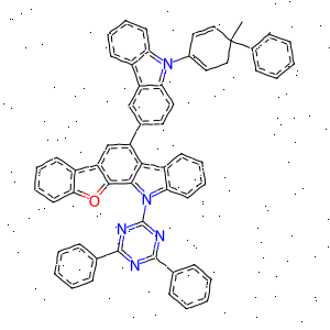 CC1(c2ccccc2)C=CC(n2c3ccccc3c3cc(-c4cc5c6ccccc6oc5c5c4c4ccccc4n5-c4nc(-c5ccccc5)nc(-c5ccccc5)n4)ccc32)=CC1